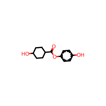 O=C(Oc1ccc(O)cc1)C1CCC(O)CC1